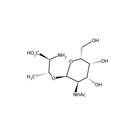 CC(=O)N[C@H]1[C@@H](O[C@H](C)[C@H](N)C(=O)O)O[C@H](CO)[C@H](O)[C@@H]1O